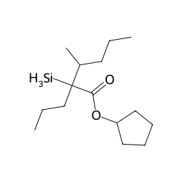 CCCC(C)C([SiH3])(CCC)C(=O)OC1CCCC1